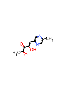 CC(=O)C(=O)/C(O)=C/c1cnc(C)cn1